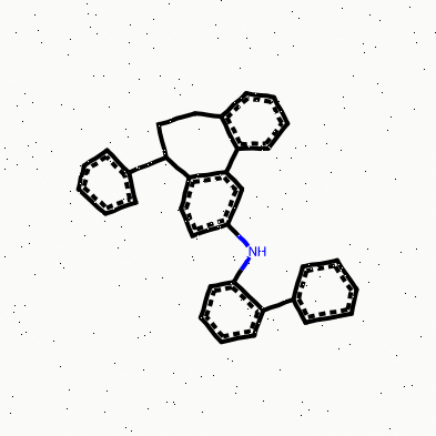 c1ccc(-c2ccccc2Nc2ccc3c(c2)-c2ccccc2CCC3c2ccccc2)cc1